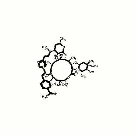 CC[C@H]1OC(=O)[C@H](C)[C@@H](O[C@H]2C[C@@](C)(OC)[C@@H](O)[C@H](C)O2)[C@H](C)[C@@H](O[C@@H]2O[C@H](C)C[C@H](N(C)CCc3cn(CCc4ccc(C(C)=N)cc4)nn3)[C@H]2O)[C@](C)(O)C[C@@H](C)CN(C)[C@H](C)[C@@H](O)[C@]1(C)O